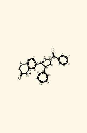 O=C1COc2ccc(C3=NN(C(=O)c4ccccc4)CC3c3ccccc3)cc2N1